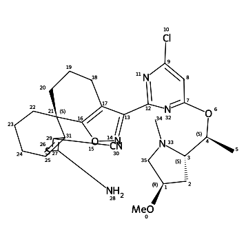 CO[C@@H]1C[C@@H]([C@H](C)Oc2cc(Cl)nc(-c3noc4c3CCC[C@@]43CCCc4sc(N)c(C#N)c43)n2)N(C)C1